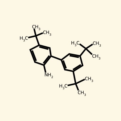 CC(C)(C)c1cc(-c2cc(C(C)(C)C)ccc2N)cc(C(C)(C)C)c1